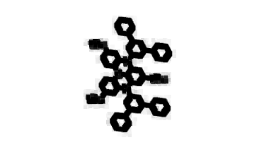 CC(C)(C)c1ccc2c(c1)N(c1cc(-c3ccccc3)cc(-c3ccccc3)c1)c1cc(C(C)(C)C)cc3c1B2c1ccc(C(C)(C)C)cc1N3c1cc(-c2ccccc2)cc(-c2ccccc2)c1